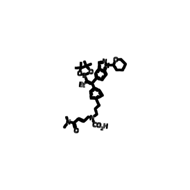 CCC(B1OC(C)(C)C(C)(C)O1)=C(c1ccc(CCCN(CC=CC(=O)N(C)C)C(=O)O)cc1)c1ccc2c(cnn2C2CCCCO2)c1